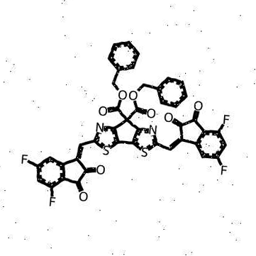 O=C1C(=O)c2c(F)cc(F)cc2/C1=C/c1nc2c(s1)-c1sc(/C=C3\C(=O)C(=O)c4c(F)cc(F)cc43)nc1C2(C(=O)OCc1ccccc1)C(=O)OCc1ccccc1